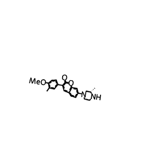 COc1ccc(-c2cc3ccc(N4CCN[C@@H](C)C4)cc3oc2=O)cc1C